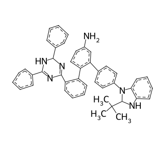 CC(C)(C)C1Nc2ccccc2N1c1ccc(-c2cc(N)ccc2-c2ccccc2C2=NC(c3ccccc3)NC(c3ccccc3)=N2)cc1